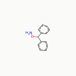 NOC(c1ccccc1)c1ccccc1